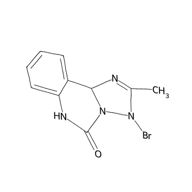 CC1=NC2c3ccccc3NC(=O)N2N1Br